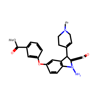 COC(=O)c1cccc(Oc2ccc3c(c2)C(C2=CCN(C(C)C)CC2)C(=C=O)N3N)c1